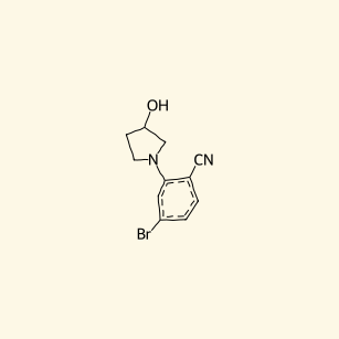 N#Cc1ccc(Br)cc1N1CCC(O)C1